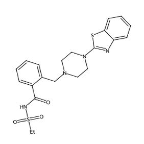 CCS(=O)(=O)NC(=O)c1ccccc1CN1CCN(c2nc3ccccc3s2)CC1